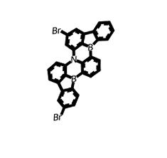 Brc1ccc2c(c1)-c1cccc3c1B2c1cccc2c1N3c1cc(Br)cc3c1B2c1ccccc1-3